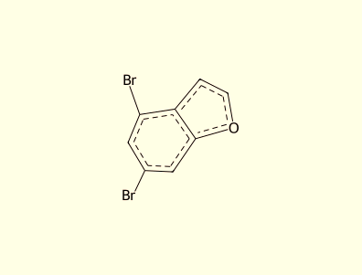 Brc1cc(Br)c2ccoc2c1